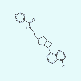 O=C(NCCN1CC2CC(c3cccc4c(Cl)cccc34)C2C1)c1ccccc1